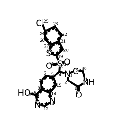 O=C1CN(C(c2ccc3c(O)ncnc3c2)S(=O)(=O)c2cc3ccc(Cl)cc3s2)CCN1